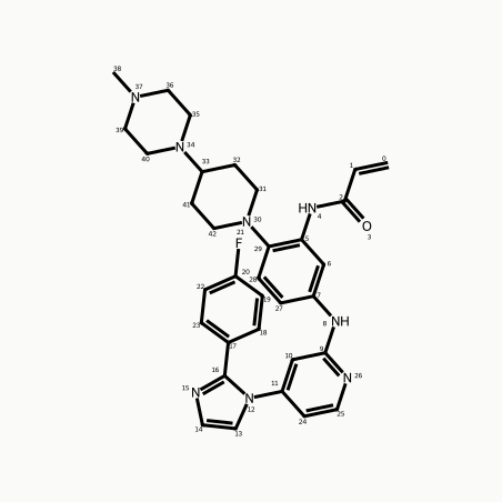 C=CC(=O)Nc1cc(Nc2cc(-n3ccnc3-c3ccc(F)cc3)ccn2)ccc1N1CCC(N2CCN(C)CC2)CC1